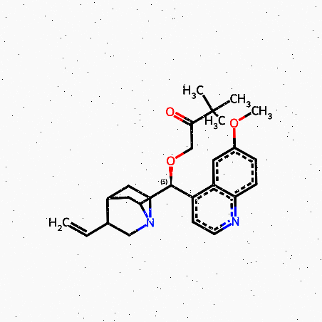 C=CC1CN2CCC1CC2[C@@H](OCC(=O)C(C)(C)C)c1ccnc2ccc(OC)cc12